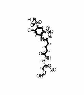 NS(=O)(=O)c1cc2c(cc1Cl)NC(CCCC(=O)NC[C@@H](CON=O)ON=O)=NS2(=O)=O